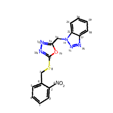 O=[N+]([O-])c1ccccc1CSc1nnc(Cn2nnc3ccccc32)o1